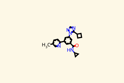 Cc1ccc(-c2cc(C(=O)NC3CC3)cc(-n3ncnc3C3CCC3)c2)nc1